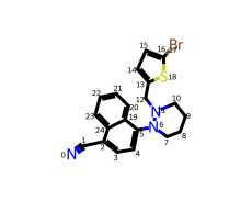 N#Cc1ccc(N2CCCCN2Cc2ccc(Br)s2)c2ccccc12